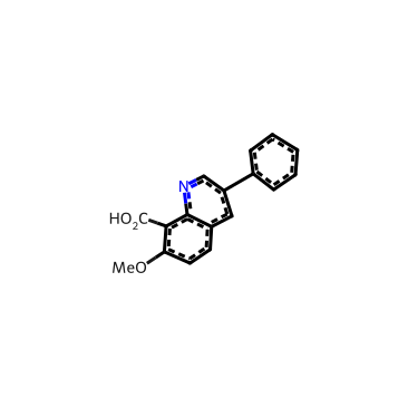 COc1ccc2cc(-c3ccccc3)cnc2c1C(=O)O